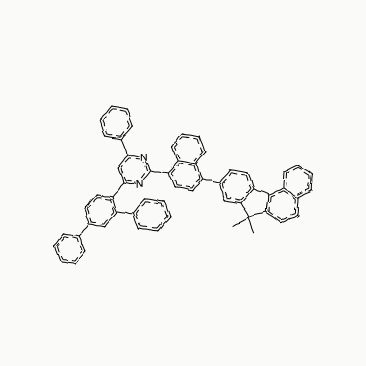 CC1(C)c2cc(-c3ccc(-c4nc(-c5ccccc5)cc(-c5ccc(-c6ccccc6)cc5-c5ccccc5)n4)c4ccccc34)ccc2-c2c1ccc1ccccc21